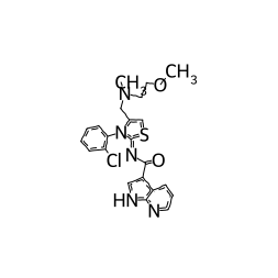 COCCN(C)Cc1cs/c(=N\C(=O)c2c[nH]c3ncccc23)n1-c1ccccc1Cl